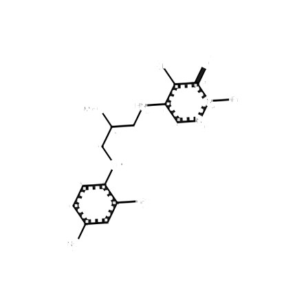 CCCc1cc(C#N)ccc1OCC(CNc1cnn(C(C)C)c(=O)c1Cl)OC